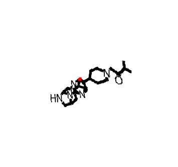 CC(C)C(=O)CN1CCC(c2cnc(N3C4CNC3CN(C(C)C)C4)nc2)CC1